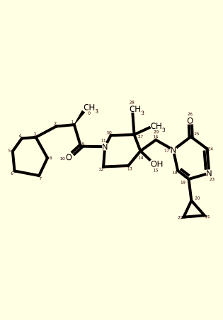 C[C@H](CC1CCCCC1)C(=O)N1CCC(O)(Cn2cc(C3CC3)ncc2=O)C(C)(C)C1